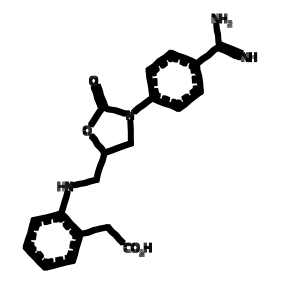 N=C(N)c1ccc(N2CC(CNc3ccccc3CC(=O)O)OC2=O)cc1